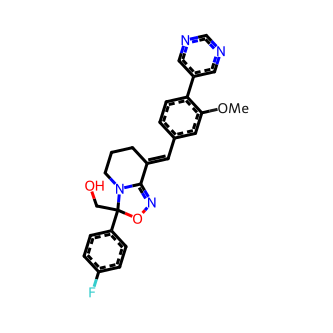 COc1cc(/C=C2\CCCN3C2=NOC3(CO)c2ccc(F)cc2)ccc1-c1cncnc1